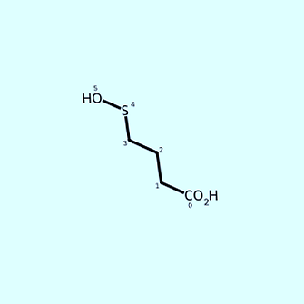 O=C(O)CCCSO